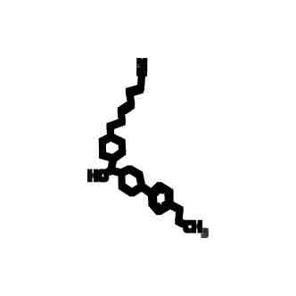 CCCc1ccc(C2CCC(C(O)C3CCC(CCC=CC=CC#N)CC3)CC2)cc1